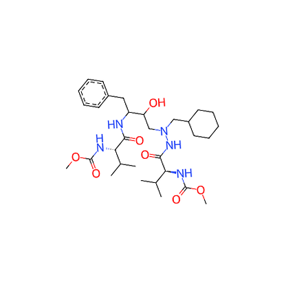 COC(=O)N[C@H](C(=O)NC(Cc1ccccc1)C(O)CN(CC1CCCCC1)NC(=O)[C@@H](NC(=O)OC)C(C)C)C(C)C